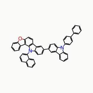 c1ccc(-c2ccc(-n3c4ccccc4c4cc(-c5ccc6c(c5)c5ccc7oc8ccccc8c7c5n6-c5cccc6ccccc56)ccc43)cc2)cc1